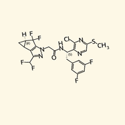 CSc1cnc([C@H](Cc2cc(F)cc(F)c2)NC(=O)Cn2nc(C(F)F)c3c2C(F)(F)[C@@H]2CC32)c(Cl)n1